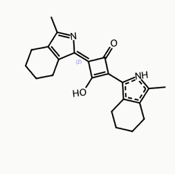 CC1=N/C(=C2\C(=O)C(c3[nH]c(C)c4c3CCCC4)=C2O)C2=C1CCCC2